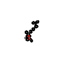 c1cc(-c2ccc(-c3ccc(N(c4ccc(-c5ccc6ccccc6c5)cc4)c4ccccc4-c4ccc5c(c4)oc4ccccc45)cc3)cc2)cc(-n2c3ccccc3c3ccccc32)c1